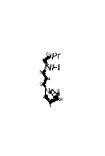 CC(C)CNCCCn1cccn1